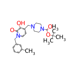 Cc1cccc(Cn2ccc(CN3CCN(C(=O)OC(C)(C)C)CC3)c(O)c2=O)c1